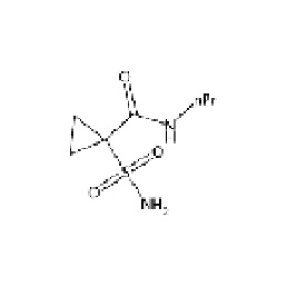 CCCNC(=O)C1(S(N)(=O)=O)CC1